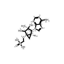 C[C@@]1(O)C(O)[C@]2(OCP(=O)(O)O)C[C@@H]2[C@H]1n1cnc2c(N)ncnc21